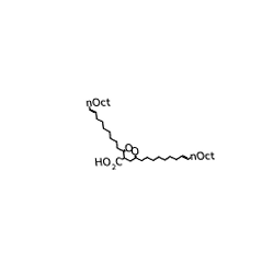 CCCCCCCCC=CCCCCCCCC(=O)CC(C(=O)O)C(=O)CCCCCCCC=CCCCCCCCC